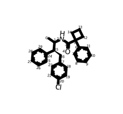 CC(NC(=O)C1(c2ccccc2)CCC1)[C@@H](Cc1ccc(Cl)cc1)c1ccccc1